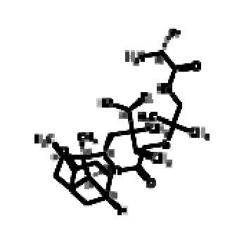 C=CC(C)(C[C@@H](OC(=O)CSC(C)(C)CNC(=O)[C@H](N)C(C)C)[C@]1(C)[C@H](C)CC23C[C@@H](CCC2=O)[C@@H]31)[C@@H](O)CC